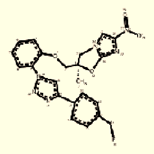 C[C@]1(COc2ccccc2-n2cc(-c3ccc(CF)cc3)nn2)Cn2cc([N+](=O)[O-])nc2O1